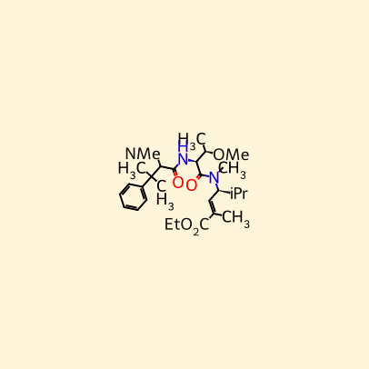 CCOC(=O)/C(C)=C/[C@H](C(C)C)N(C)C(=O)[C@@H](NC(=O)C(NC)C(C)(C)c1ccccc1)[C@@H](C)OC